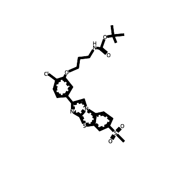 CC(C)(C)OC(=O)NCCCOc1cc(-c2cn3c(n2)sc2cc(S(C)(=O)=O)ccc23)ccc1Cl